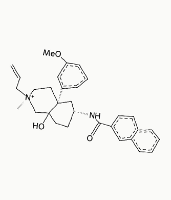 C=CC[N@@+]1(C)CC[C@@]2(c3cccc(OC)c3)C[C@H](NC(=O)c3ccc4ccccc4c3)CCC2(O)C1